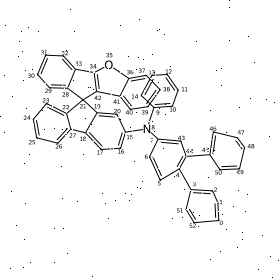 c1ccc(-c2ccc(N(c3ccccc3)c3ccc4c(c3)C3(c5ccccc5-4)c4ccccc4-c4oc5ccccc5c43)cc2-c2ccccc2)cc1